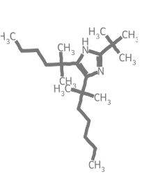 CCCCCC(C)(C)c1nc(C(C)(C)C)[nH]c1C(C)(C)CCCC